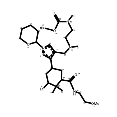 CCC1CC(c2nn(C3CCCCO3)cc2CN(C)CCN(C)C(=O)OC(C)(C)C)CC(C(=O)NCCOC)C1(C)C